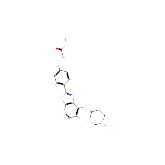 CNC(=O)CNc1ccc(-c2nc3c(NC4CCN(C)CC4)c(Cl)cnc3[nH]2)cc1